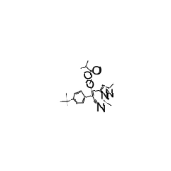 CCn1nc(C)cc1/C(OCOC(=O)C(C)C)=C(\C#N)c1ccc(C(C)(C)C)cc1